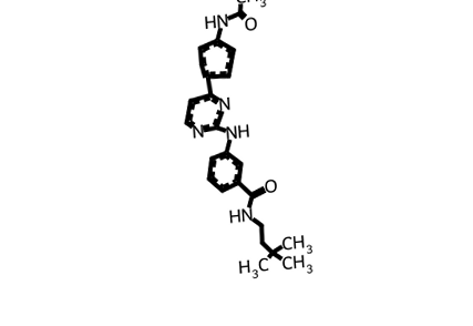 CC(=O)Nc1ccc(-c2ccnc(Nc3cccc(C(=O)NCCC(C)(C)C)c3)n2)cc1